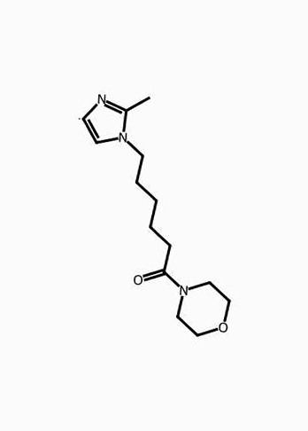 Cc1n[c]cn1CCCCCC(=O)N1CCOCC1